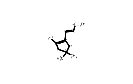 CCOC(=O)C=CC1=C(Cl)CC(C)(C)C1